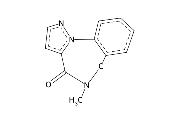 CN1Cc2ccccc2-n2nccc2C1=O